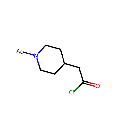 CC(=O)N1CCC(CC(=O)Cl)CC1